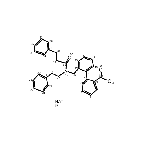 O=C([O-])c1ccccc1-c1ccccc1CN(CCc1ccccc1)C(=O)CCc1ccccc1.[Na+]